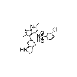 Cc1cc(NS(=O)(=O)c2cccc(Cl)c2)c2c(-c3ccc4cc[nH]c4c3)c(C)sc2n1